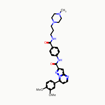 COc1ccc(-c2ccnc3cc(C(=O)Nc4ccc(C(=O)NCCCN5CCN(C)CC5)cc4)nn23)cc1OC